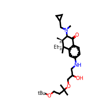 CC[C@@]1(C)c2cc(NCC(O)COC(C)(C)CCOC(C)(C)C)ccc2C(=O)C(N(C)CC2CC2)[C@@H]1C